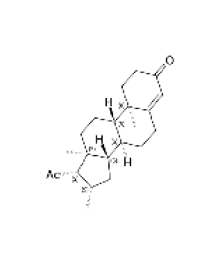 CC(=O)[C@H]1[C@@H](C)C[C@H]2[C@@H]3CCC4=CC(=O)CC[C@]4(C)[C@H]3CC[C@@]21C